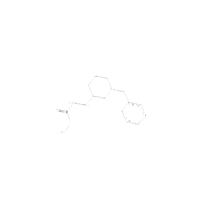 CC(C)(C)OC(=O)NNC1CCCN(Cc2ccccc2)C1